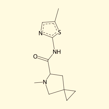 Cc1cnc(NC(=O)C2CC3(CC3)CN2C)s1